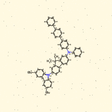 CC(C)(C)c1ccc2c(c1)c1cc(C(C)(C)C)ccc1n2-c1ccc2c(c1)C(C)(C)c1cc(N(c3ccccc3)c3ccc(-c4ccc(-c5ccccc5)cc4)cc3)ccc1-2